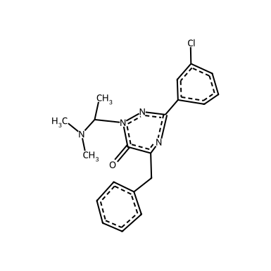 CC(N(C)C)n1nc(-c2cccc(Cl)c2)nc(Cc2ccccc2)c1=O